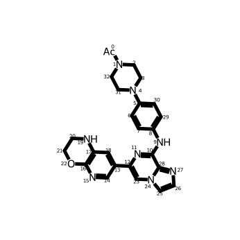 CC(=O)N1CCN(c2ccc(Nc3nc(-c4cnc5c(c4)NCCO5)cn4ccnc34)cc2)CC1